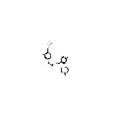 CC1CCN(c2cc(C(C)(C)C)ccc2CNC(=O)C(C)c2ccc(CNS(C)(=O)=O)c(F)c2)CC1